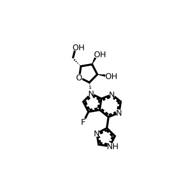 OC[C@H]1O[C@@H](n2cc(F)c3c(-c4c[nH]cn4)ncnc32)[C@H](O)[C@@H]1O